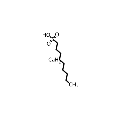 CCCCCCCCCS(=O)(=O)O.[CaH2]